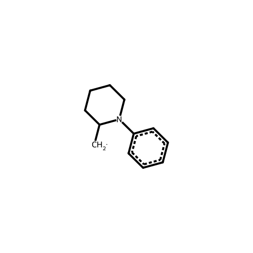 [CH2]C1CCCCN1c1ccccc1